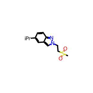 CC(C)c1ccc2nn(CCS(C)(=O)=O)cc2c1